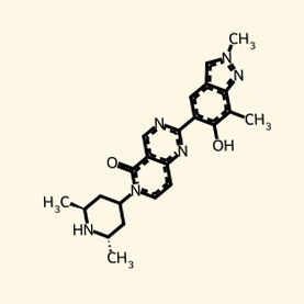 Cc1c(O)c(-c2ncc3c(=O)n(C4C[C@H](C)N[C@@H](C)C4)ccc3n2)cc2cn(C)nc12